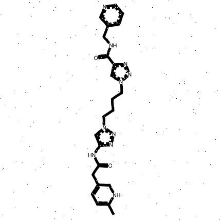 CC1=CC=C(CC(=O)Nc2cn(CCCCn3cc(C(=O)NCc4cccnc4)nn3)nn2)CN1